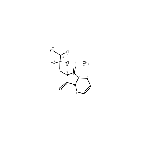 C.O=C1C2CC=CCC2C(=O)N1SC(Cl)(Cl)C(Cl)Cl